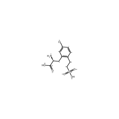 N[C@@H](Cc1cc(Cl)ccc1CCS(=O)(=O)O)C(=O)O